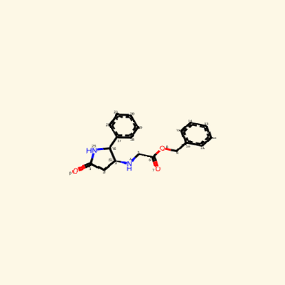 O=C1C[C@H](NCC(=O)OCc2ccccc2)C(c2ccccc2)N1